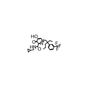 CCCC(CC)(Cn1cc(O)c(=O)c(C(=O)NCC2CC2)n1)c1cccc(C(F)(F)F)c1